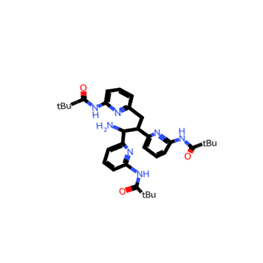 CC(C)(C)C(=O)Nc1cccc(CC(c2cccc(NC(=O)C(C)(C)C)n2)C(N)c2cccc(NC(=O)C(C)(C)C)n2)n1